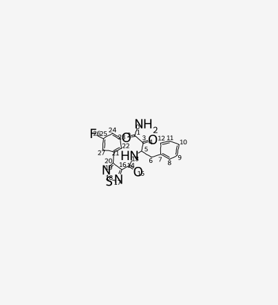 NC(=O)C(=O)C(Cc1ccccc1)NC(=O)c1nsnc1-c1cccc(F)c1